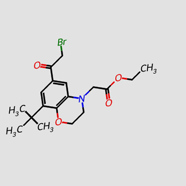 CCOC(=O)CN1CCOc2c1cc(C(=O)CBr)cc2C(C)(C)C